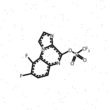 O=S(=O)(Oc1nc2ccc(F)c(F)c2n2ccnc12)C(F)(F)F